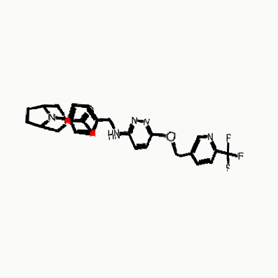 CC(=O)N1CC2CCC(C1)N2c1ccc(CNc2ccc(OCc3ccc(C(F)(F)F)nc3)nn2)cc1